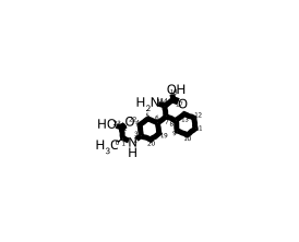 C[C@@H](NC1CCC(C(C2CCCCC2)C(N)C(=O)O)CC1)C(=O)O